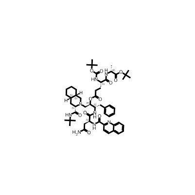 C[C@@H](NC(=O)[C@H](CCC(=O)O[C@H](CN1C[C@H]2CCCC[C@H]2C[C@H]1C(=O)NC(C)(C)C)[C@H](Cc1ccccc1)NC(=O)[C@H](CC(N)=O)NC(=O)c1ccc2ccccc2n1)NC(=O)OC(C)(C)C)C(=O)OC(C)(C)C